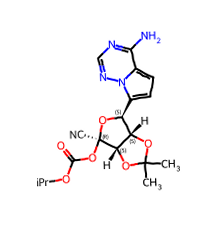 CC(C)OC(=O)O[C@@]1(C#N)O[C@@H](c2ccc3c(N)ncnn23)[C@@H]2OC(C)(C)O[C@@H]21